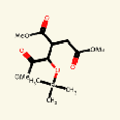 COC(=O)CC(C(=O)OC)C(O[Si](C)(C)C)C(=O)OC